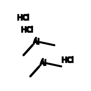 Cl.Cl.Cl.[CH3][Al][CH3].[CH3][Al][CH3]